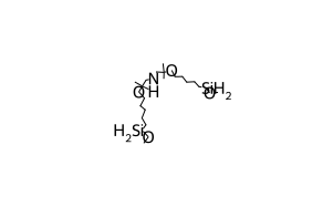 CO[SiH2]CCCCCOC(C)(C)CNCC(C)(C)OCCCCC[SiH2]OC